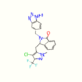 Cn1nc(C(F)(F)F)c(Cl)c1CC1c2ccccc2C(=O)N1Cc1ccc2[nH]nnc2c1